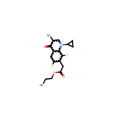 N#CCCOC(=O)Cc1c(F)cc2c(=O)c(C#N)cn(C3CC3)c2c1F